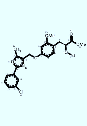 CCO[C@@H](Cc1ccc(OCc2nc(-c3cccc(Cl)c3)oc2C)cc1OC)C(=O)OC